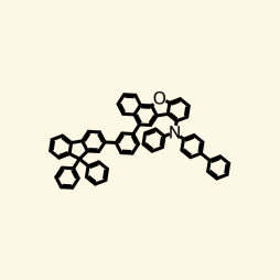 c1ccc(-c2ccc(N(c3ccccc3)c3cccc4oc5c6ccccc6c(-c6cccc(-c7ccc8c(c7)C(c7ccccc7)(c7ccccc7)c7ccccc7-8)c6)cc5c34)cc2)cc1